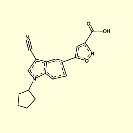 N#Cc1cn(C2CCCC2)c2ccc(-c3cc(C(=O)O)no3)cc12